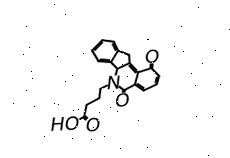 O=C(O)CCCN1C(=O)C2=CC=CC(=O)C2=C2Cc3ccccc3C21